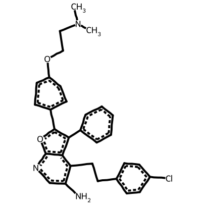 CN(C)CCOc1ccc(-c2oc3ncc(N)c(CCc4ccc(Cl)cc4)c3c2-c2ccccc2)cc1